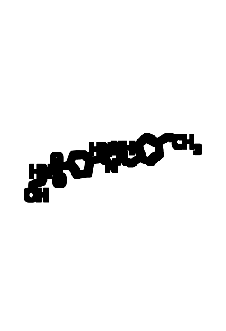 CCc1ccc(CN2N=C(c3ccc(S(=O)(=O)NCCO)cc3)NN2)cc1